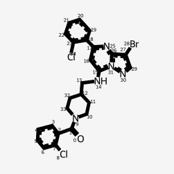 O=C(c1ccccc1Cl)N1CCC(CNc2cc(-c3ccccc3Cl)nc3c(Br)cnn23)CC1